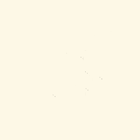 COc1cc(N2CCC(C)CC2)ccc1Nc1ncc2c(n1)N(Cc1ccccc1)C(=O)C(c1c(F)cccc1F)O2